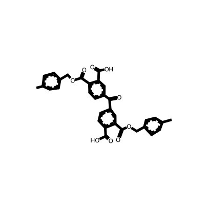 Cc1ccc(COC(=O)c2ccc(C(=O)c3ccc(C(=O)O)c(C(=O)OCc4ccc(C)cc4)c3)cc2C(=O)O)cc1